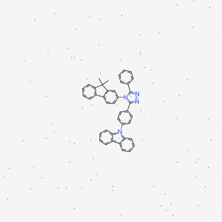 CC1(C)c2ccccc2-c2ccc(-n3c(-c4ccccc4)nnc3-c3ccc(-n4c5ccccc5c5ccccc54)cc3)cc21